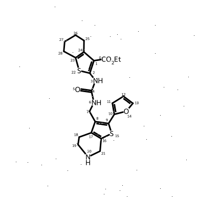 CCOC(=O)c1c(NC(=O)NCc2c(-c3ccco3)sc3c2CCNC3)sc2c1CCCC2